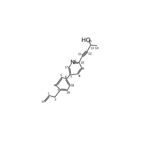 C=CCc1ccc(-c2ccc(C#CC(C)O)nc2)cc1